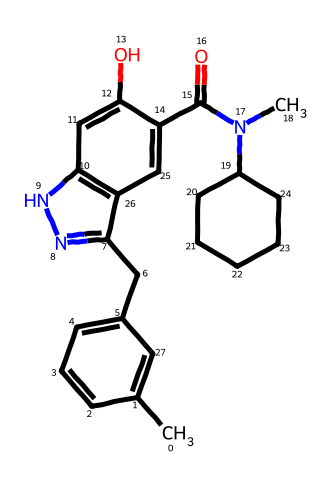 Cc1cccc(Cc2n[nH]c3cc(O)c(C(=O)N(C)C4CCCCC4)cc23)c1